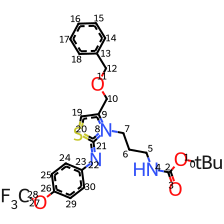 CC(C)(C)OC(=O)NCCCn1c(COCc2ccccc2)csc1=Nc1ccc(OC(F)(F)F)cc1